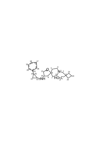 O=C(O)C1(CN2CCC3(CC2)CC(NC2C[C@H]2c2ccccc2)CO3)CCC1